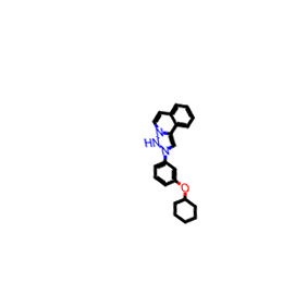 C1=CN2NN(c3cccc(OC4CCCCC4)c3)C=C2c2ccccc21